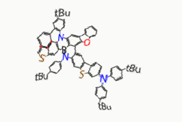 CC(C)(C)c1ccc(N2B3c4cc5sccc5cc4N(c4ccc(C(C)(C)C)cc4-c4ccccc4)c4cc5c(oc6ccccc65)c(c43)-c3cc4c(cc32)sc2cc(N(c3ccc(C(C)(C)C)cc3)c3ccc(C(C)(C)C)cc3)ccc24)cc1